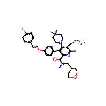 Cc1nc(C(=O)N(C)CC2CCOCC2)c(-c2ccc(OCCc3ccc(F)cc3)cc2)c(N2CCC(C)(C)CC2)c1CC(=O)O